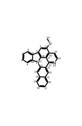 ISc1cc2c3ccccc3n3c4cc5ccccc5cc4c4nccc1c4c23